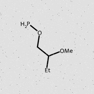 CCC(COP)OC